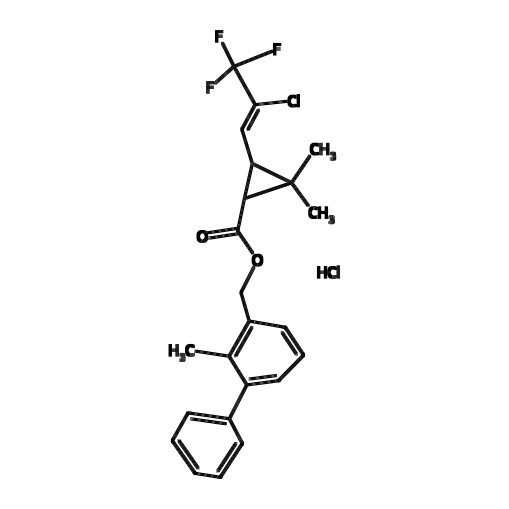 Cc1c(COC(=O)C2C(/C=C(\Cl)C(F)(F)F)C2(C)C)cccc1-c1ccccc1.Cl